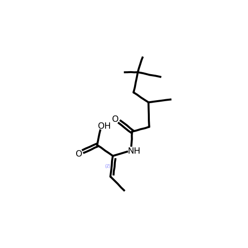 C/C=C(\NC(=O)CC(C)CC(C)(C)C)C(=O)O